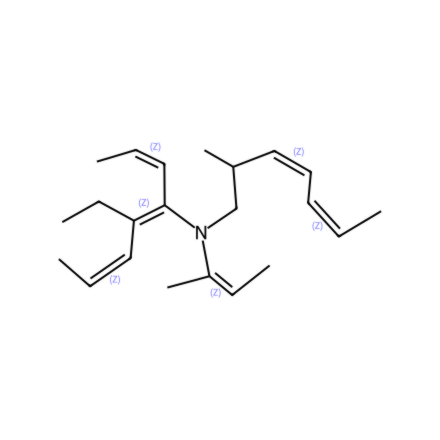 C/C=C\C=C/C(C)CN(/C(C)=C\C)C(/C=C\C)=C(\C=C/C)CC